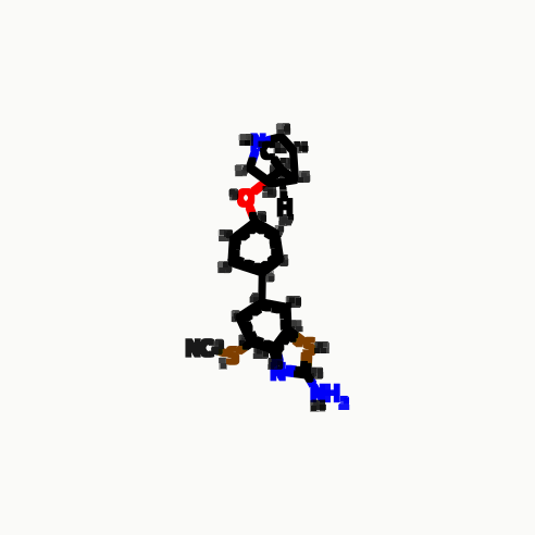 N#CSc1cc(-c2ccc(O[C@H]3CN4CCC3CC4)cc2)cc2sc(N)nc12